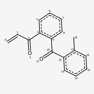 C=CC(=O)c1ccccc1C(=O)c1ccccc1C